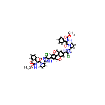 COC(=O)N[C@H](C(=O)N1CCC[C@H]1c1nc(Cl)c(-c2cc3c4c(c2)OCc2cc(-c5[nH]c([C@@H]6CCCN6C(=O)[C@@H](NC(=O)OC)c6ccccc6)nc5Cl)cc(c2-4)OC3)[nH]1)c1ccccc1